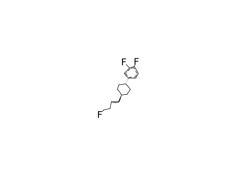 FCC/C=C/[C@H]1CC[C@H](c2ccc(F)c(F)c2)CC1